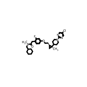 CN(CC1CCCCC1)C(=O)Cc1ccc(OCC[C@@H]2C[C@]2(C)C2CCN(c3ncc(Cl)cn3)CC2)cc1F